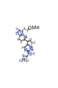 COCCn1c(C)nc2ccc(-c3ccn4nc(NC5CN(C)C5)ncc34)nc21